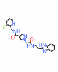 O=C(Cn1cc(C(=O)NCc2ncccc2F)cn1)NCCc1nc2ccccc2[nH]1